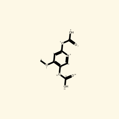 COc1cc(OC(=O)O)ncc1OC(=O)O